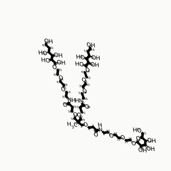 CC(COCCC(=O)NCCOCCOCCO[C@H]1OC(CO)[C@@H](O)C(O)C1O)(COCCC(=O)NCCOCCOCCO[C@@H](O)C(O)C(O)[C@H](O)CCO)COCCC(=O)NCCOCCOCCO[C@@H](O)C(O)C(O)[C@H](O)CCO